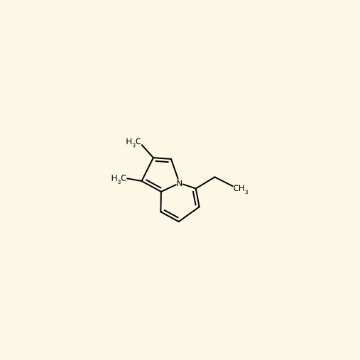 CCc1cccc2c(C)c(C)cn12